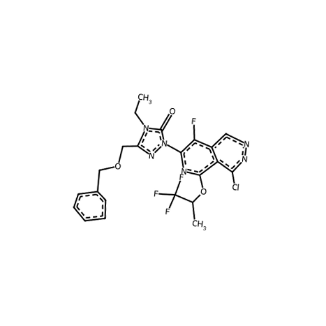 CCn1c(COCc2ccccc2)nn(-c2nc(OC(C)C(F)(F)F)c3c(Cl)nncc3c2F)c1=O